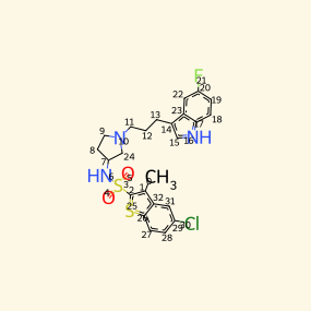 Cc1c(S(=O)(=O)NC2CCN(CCCc3c[nH]c4ccc(F)cc34)C2)sc2ccc(Cl)cc12